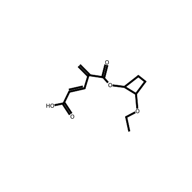 C=C(C=CC(=O)O)C(=O)OC1CCC1OCC